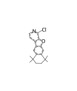 CC1(C)CCC(C)(C)c2cc3c(cc21)oc1c(Cl)nccc13